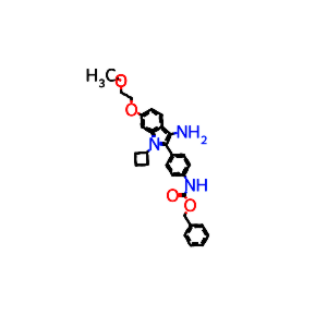 COCCOc1ccc2c(N)c(-c3ccc(NC(=O)OCc4ccccc4)cc3)n(C3CCC3)c2c1